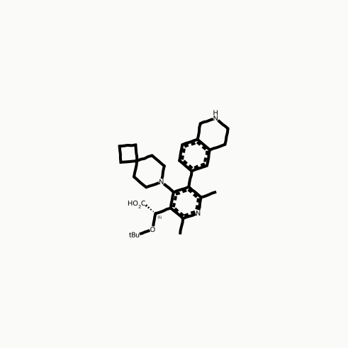 Cc1nc(C)c([C@H](OC(C)(C)C)C(=O)O)c(N2CCC3(CCC3)CC2)c1-c1ccc2c(c1)CCNC2